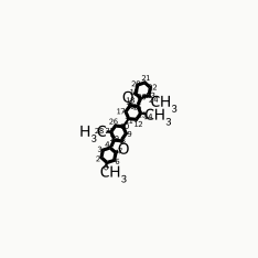 Cc1ccc2c(c1)oc1cc(-c3cc(C)c4c(c3)oc3cccc(C)c34)cc(C)c12